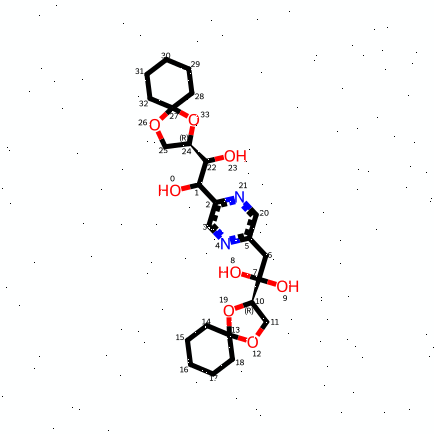 OC(c1cnc(CC(O)(O)[C@H]2COC3(CCCCC3)O2)cn1)C(O)[C@H]1COC2(CCCCC2)O1